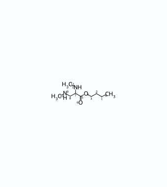 CCCCOC(=O)C(CNC)NC